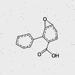 O=C(O)c1ccc2c(c1-c1ccccc1)O2